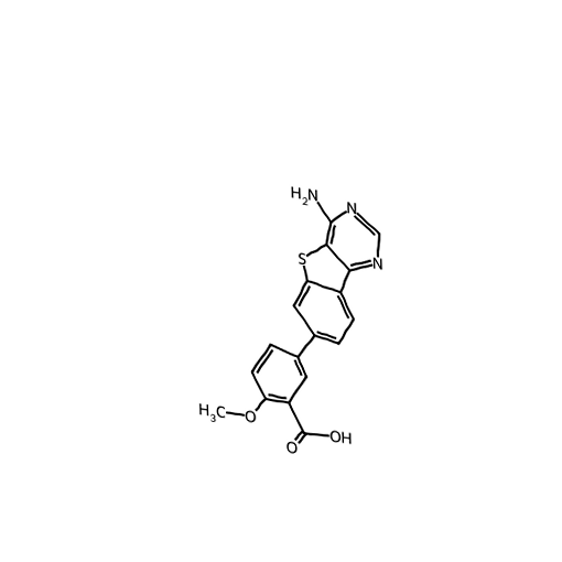 COc1ccc(-c2ccc3c(c2)sc2c(N)ncnc23)cc1C(=O)O